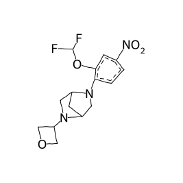 O=[N+]([O-])c1ccc(N2CC3CC2CN3C2COC2)c(OC(F)F)c1